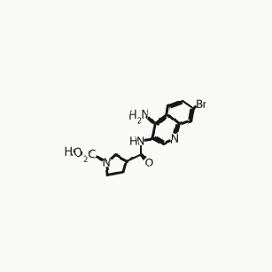 Nc1c(NC(=O)C2CCN(C(=O)O)C2)cnc2cc(Br)ccc12